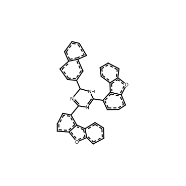 c1ccc2cc(C3N=C(c4cccc5oc6ccccc6c45)N=C(c4cccc5oc6ccccc6c45)N3)ccc2c1